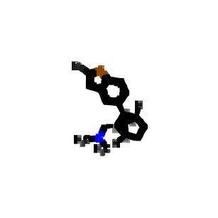 CCc1cc2cc([C@H]3[C@@H]4CC[C@@H](C4)[C@@H]3CN(C)C)ccc2s1